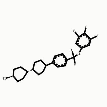 CC[C@H]1CC[C@H](C2CCC(c3ccc(C(F)(F)Oc4cc(F)c(F)c(F)c4)cc3)CC2)CC1